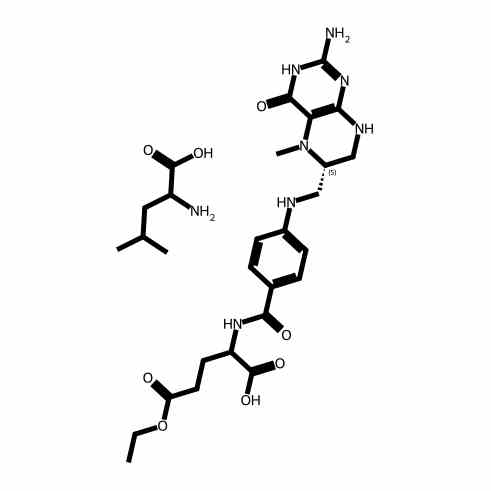 CC(C)CC(N)C(=O)O.CCOC(=O)CCC(NC(=O)c1ccc(NC[C@H]2CNc3nc(N)[nH]c(=O)c3N2C)cc1)C(=O)O